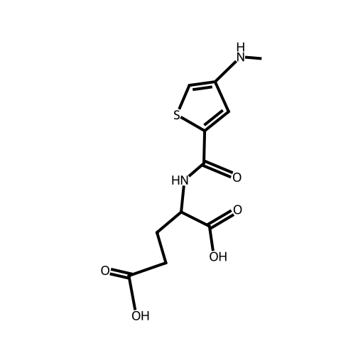 CNc1csc(C(=O)NC(CCC(=O)O)C(=O)O)c1